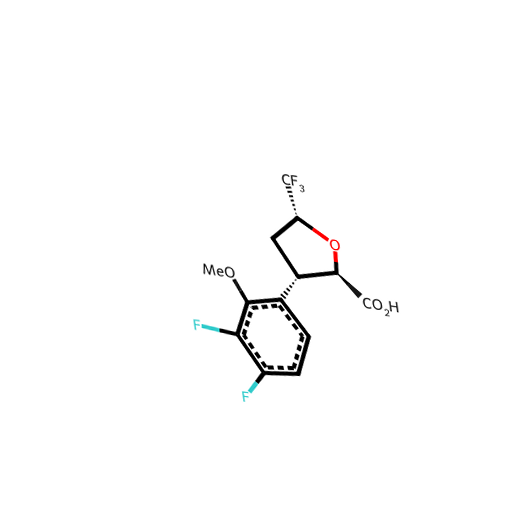 COc1c([C@@H]2C[C@H](C(F)(F)F)O[C@H]2C(=O)O)ccc(F)c1F